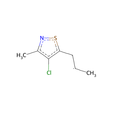 C[CH]Cc1snc(C)c1Cl